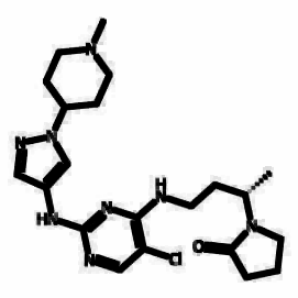 C[C@@H](CCNc1nc(Nc2cnn(C3CCN(C)CC3)c2)ncc1Cl)N1CCCC1=O